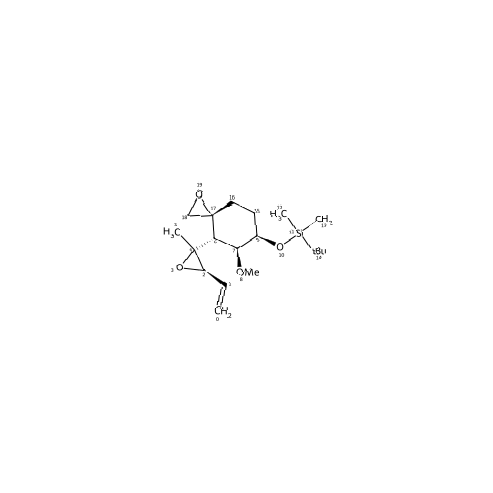 C=C[C@H]1OC1(C)[C@H]1[C@H](OC)[C@H](O[Si](C)(C)C(C)(C)C)CC[C@]12CO2